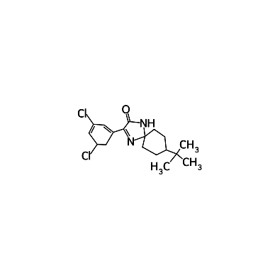 CC(C)(C)C1CCC2(CC1)N=C(C1=CC(Cl)=CC(Cl)C1)C(=O)N2